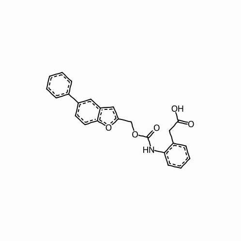 O=C(O)Cc1ccccc1NC(=O)OCc1cc2cc(-c3ccccc3)ccc2o1